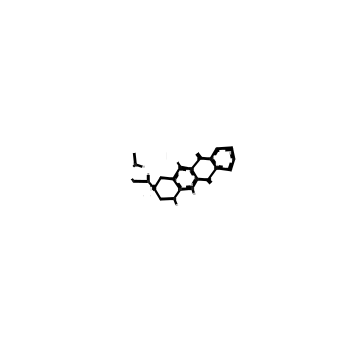 CC1OCC([C@]2(O)Cc3c(O)c4c(c(O)c3C(Br)C2)C(=O)c2ccccc2C4=O)O1